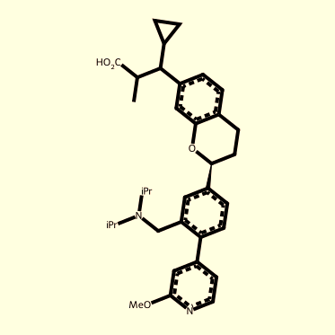 COc1cc(-c2ccc([C@@H]3CCc4ccc(C(C5CC5)C(C)C(=O)O)cc4O3)cc2CN(C(C)C)C(C)C)ccn1